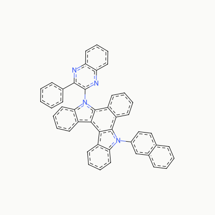 c1ccc(-c2nc3ccccc3nc2-n2c3ccccc3c3c4c5ccccc5n(-c5ccc6ccccc6c5)c4c4ccccc4c32)cc1